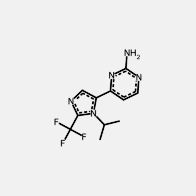 CC(C)n1c(-c2ccnc(N)n2)cnc1C(F)(F)F